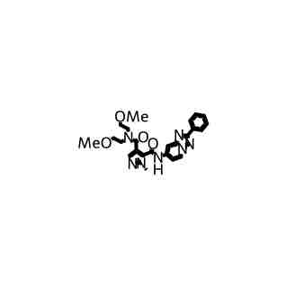 COCCN(CCOC)C(=O)c1cnn(C)c1C(=O)Nc1ccn2nc(-c3ccccc3)nc2c1